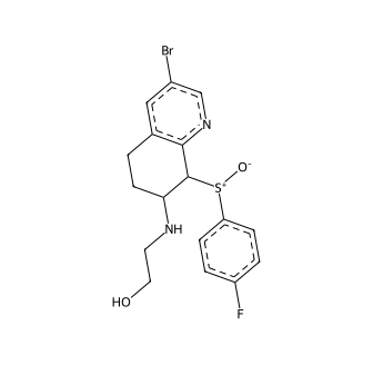 [O-][S+](c1ccc(F)cc1)C1c2ncc(Br)cc2CCC1NCCO